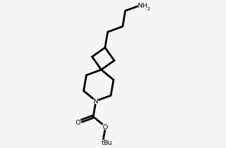 CC(C)(C)OC(=O)N1CCC2(CC1)CC(CCCN)C2